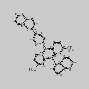 Cc1ccc2c(-c3ccc(-c4ccc5ccccc5c4)cc3)c3ccc(C(F)(F)F)cc3c(-c3cccc4ccccc34)c2c1